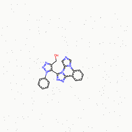 OCc1nnn(-c2ccccc2)c1-c1nnc2c3ccccc3n3cncc3n12